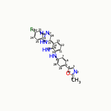 Cc1ncc(-c2ccc(NC3=CC=C/C(=C(\CN)Nc4ccc(F)cc4)C3=N)cc2)o1